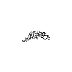 CC(=O)SCCOP(=O)(OC[C@H]1O[C@@H](n2cc3c4c(nccc42)NC(=O)C=C3)[C@](C)(O)[C@@H]1O)N(C)C